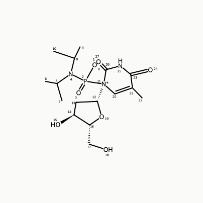 COP(=O)(N(C(C)C)C(C)C)[N+]1([C@H]2C[C@H](O)[C@@H](CO)O2)C=C(C)C(=O)NC1=O